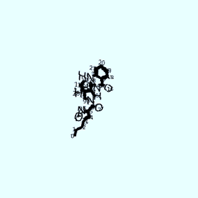 CCCc1cc(C(=O)N2C[C@H]3CC[C@]4(NC(=O)c5ccccc5N4)[C@H]3C2)no1